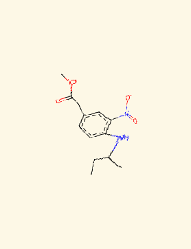 CCC(C)Nc1ccc(C(=O)OC)cc1[N+](=O)[O-]